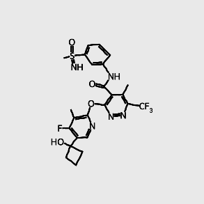 Cc1c(Oc2nnc(C(F)(F)F)c(C)c2C(=O)Nc2cccc(S(C)(=N)=O)c2)ncc(C2(O)CCC2)c1F